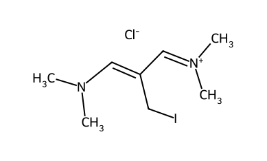 CN(C)C=C(C=[N+](C)C)CI.[Cl-]